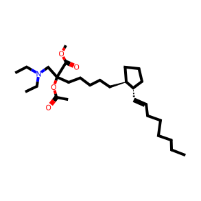 CCCCCCC=C[C@H]1CCC[C@@H]1CCCCCC(CN(CC)CC)(OC(C)=O)C(=O)OC